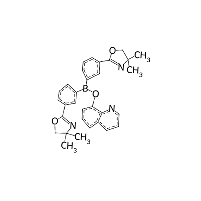 CC1(C)COC(c2cccc(B(Oc3cccc4cccnc34)c3cccc(C4=NC(C)(C)CO4)c3)c2)=N1